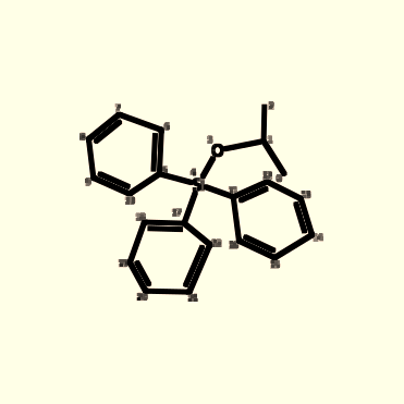 CC(C)O[Si](c1ccccc1)(c1ccccc1)c1ccccc1